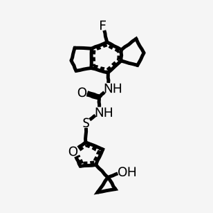 O=C(NSc1cc(C2(O)CC2)co1)Nc1c2c(c(F)c3c1CCC3)CCC2